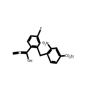 C=C=C(O)c1ccc(F)cc1Cc1ccc(C(=O)OCC)cc1[N+](=O)[O-]